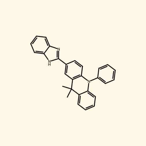 CC1(C)c2ccccc2N(c2ccccc2)c2ccc(-c3nc4ccccc4[nH]3)cc21